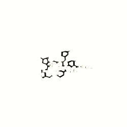 CSNc1nn(C)c2c(-n3c(C(Cc4cc(F)cc(F)c4)NC(=O)Cn4nc(C(F)F)c5c4C(F)(F)C(C)C5)nc4nc(OCCc5cnn(C)c5)ccc4c3=O)ccc(Cl)c12